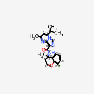 Cc1cc(C(C)C)n2cnc(C(=O)NC3(C)CCOc4c(F)cccc43)c2n1